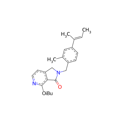 C/C=C(\C)c1ccc(CN2Cc3ccnc(OCC(C)C)c3C2=O)c(C)c1